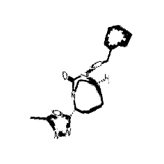 Cc1nnc([C@H]2CC[C@H]3CN2C(=O)N3OCc2ccccc2)o1